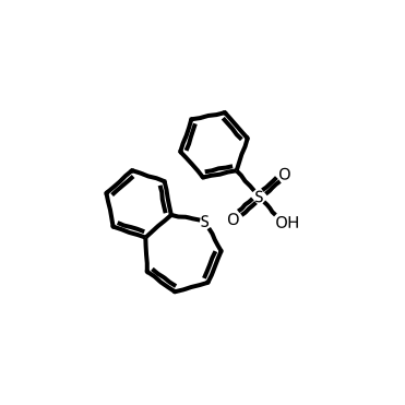 C1=CSc2ccccc2C=C1.O=S(=O)(O)c1ccccc1